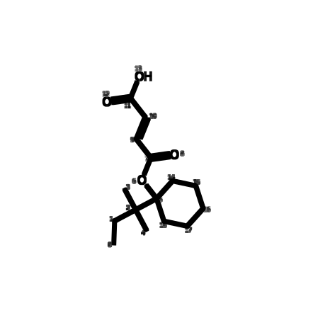 CCC(C)(C)C1(OC(=O)C=CC(=O)O)CCCCC1